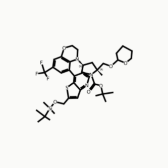 CC(C)(C)OC(=O)N1C[C@@H](N2CCOc3cc(C(F)(F)F)cc(-c4ccnc5cc(CO[Si](C)(C)C(C)(C)C)sc45)c32)C[C@]1(C)COC1CCCCO1